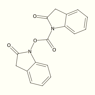 O=C1Cc2ccccc2N1OC(=O)N1C(=O)Cc2ccccc21